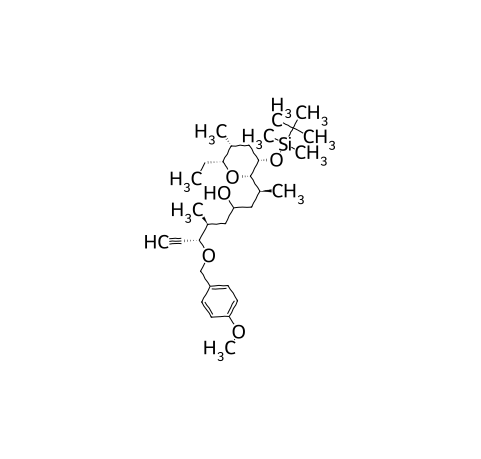 C#C[C@@H](OCc1ccc(OC)cc1)[C@@H](C)CC(O)C[C@H](C)[C@@H]1O[C@H](CC)[C@H](C)C[C@@H]1O[Si](C)(C)C(C)(C)C